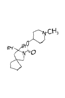 CC(C)C1(C(C)C)CC2(CCCC2)CN1C(=O)OC1CCN(C)CC1